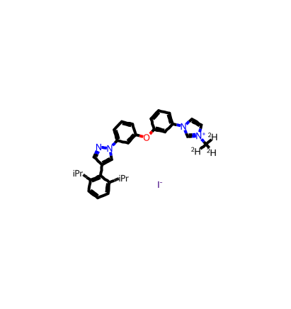 [2H]C([2H])([2H])[n+]1ccn(-c2cccc(Oc3cccc(-n4cc(-c5c(C(C)C)cccc5C(C)C)cn4)c3)c2)c1.[I-]